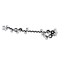 CN(C)C/C=C/C(=O)N1CCN(c2ccc(CCC(=O)NCCCCCCCCCC(=O)NCCn3ccc(-c4cc(Cl)c(Cl)c5[nH]c6c(c45)CN(C(=O)CO)CC6)n3)s2)C(=O)C1